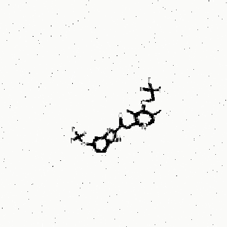 Cc1cnc(CC(=O)c2nc3cc(OC(F)(F)F)ccc3[nH]2)c(C)c1OCC(F)(F)F